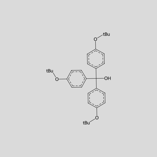 CC(C)(C)Oc1ccc(C(O)(c2ccc(OC(C)(C)C)cc2)c2ccc(OC(C)(C)C)cc2)cc1